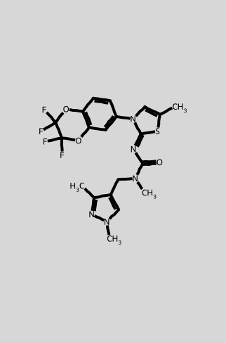 Cc1cn(-c2ccc3c(c2)OC(F)(F)C(F)(F)O3)/c(=N/C(=O)N(C)Cc2cn(C)nc2C)s1